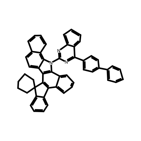 c1ccc(-c2ccc(-c3nc(-n4c5c6ccccc6ccc5c5c6c(c7ccccc7c54)-c4ccccc4C64CCCCC4)nc4ccccc34)cc2)cc1